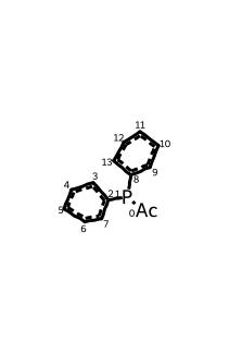 CC(=O)P(c1ccccc1)c1ccccc1